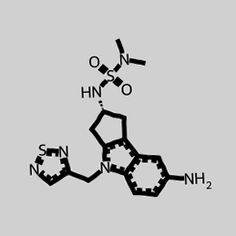 CN(C)S(=O)(=O)N[C@@H]1Cc2c(n(Cc3cnsn3)c3ccc(N)cc23)C1